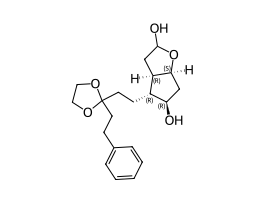 OC1C[C@@H]2[C@@H](CCC3(CCc4ccccc4)OCCO3)[C@H](O)C[C@@H]2O1